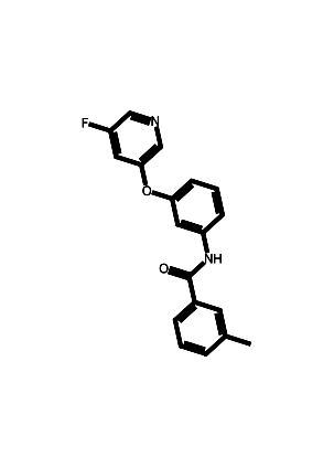 Cc1cccc(C(=O)Nc2cccc(Oc3cncc(F)c3)c2)c1